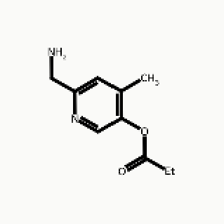 CCC(=O)Oc1cnc(CN)cc1C